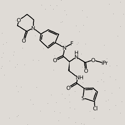 CC(C)OC(=O)N[C@@H](CNC(=O)c1ccc(Cl)s1)C(=O)N(F)c1ccc(N2CCOCC2=O)cc1